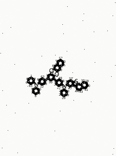 c1ccc(N(c2ccccc2)c2ccc(-c3cc4c(c(-c5ccc(N(c6ccccc6)c6ccc7sc8c9ccccc9ccc8c7c6)cc5)c3)Oc3cc5ccccc5cc3O4)cc2)cc1